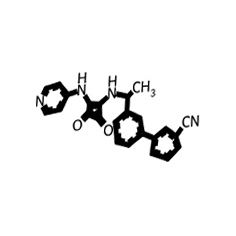 CC(Nc1c(Nc2ccncc2)c(=O)c1=O)c1cccc(-c2cccc(C#N)c2)c1